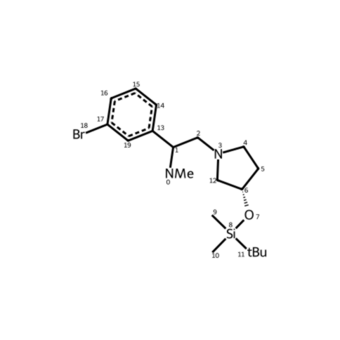 CNC(CN1CC[C@H](O[Si](C)(C)C(C)(C)C)C1)c1cccc(Br)c1